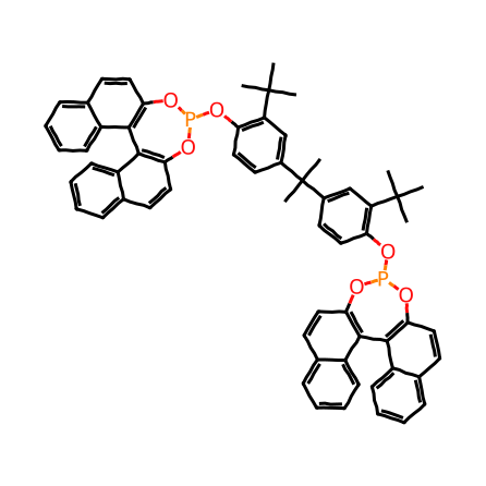 CC(C)(C)c1cc(C(C)(C)c2ccc(Op3oc4ccc5ccccc5c4c4c(ccc5ccccc54)o3)c(C(C)(C)C)c2)ccc1Op1oc2ccc3ccccc3c2c2c(ccc3ccccc32)o1